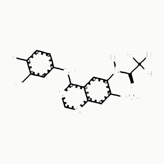 [2H]N(C(=O)C([2H])([2H])[2H])c1cc2c(Nc3ccc(F)c(Cl)c3)ncnc2cc1OC